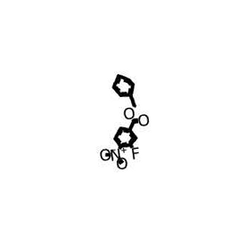 O=C(OCc1ccccc1)c1ccc([N+](=O)[O-])c(F)c1